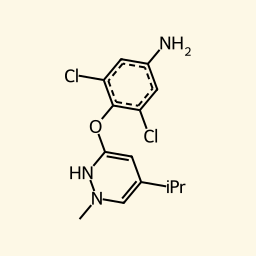 CC(C)C1=CN(C)NC(Oc2c(Cl)cc(N)cc2Cl)=C1